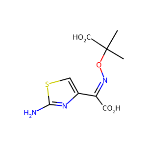 CC(C)(O/N=C(/C(=O)O)c1csc(N)n1)C(=O)O